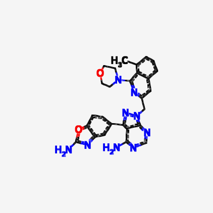 Cc1cccc2cc(Cn3nc(-c4ccc5oc(N)nc5c4)c4c(N)ncnc43)nc(N3CCOCC3)c12